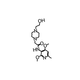 COc1cc(C)nc(OC)c1NC(=O)CN1CCN(CCO)CC1